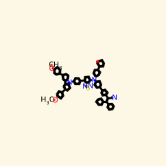 COc1ccc(-c2ccc3c(c2)c2cc(-c4ccc(OC)cc4)ccc2n3-c2ccc(-c3ccc(N(c4ccc(-c5ccccc5)cc4)c4ccc(-c5ccc(C(C#N)=C(c6ccccc6)c6ccccc6)cc5)cc4)c4nsnc34)cc2)cc1